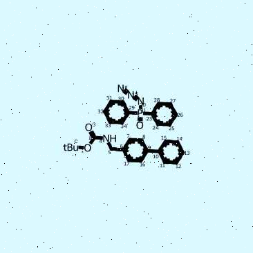 CC(C)(C)OC(=O)NCc1ccc(-c2ccccc2)cc1.[N-]=[N+]=NP(=O)(c1ccccc1)c1ccccc1